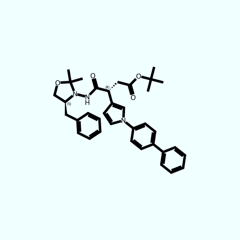 CC(C)(C)OC(=O)C[C@@H](C(=O)NN1[C@@H](Cc2ccccc2)COC1(C)C)c1ccn(-c2ccc(-c3ccccc3)cc2)c1